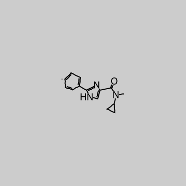 CN(C(=O)c1c[nH]c(-c2cc[c]cc2)n1)C1CC1